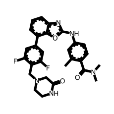 Cc1cc(Nc2nc3cccc(-c4cc(F)c(CN5CCNC(=O)C5)c(F)c4)c3o2)ccc1C(=O)N(C)C